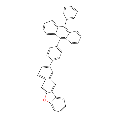 c1ccc(-c2c3ccccc3c(-c3ccc(-c4ccc5cc6oc7ccccc7c6cc5c4)cc3)c3ccccc23)cc1